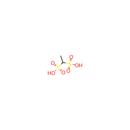 C[C](S(=O)(=O)O)S(=O)(=O)O